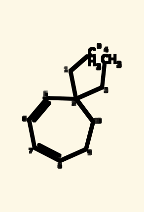 CCC1(CC)[C]=CC=CCC1